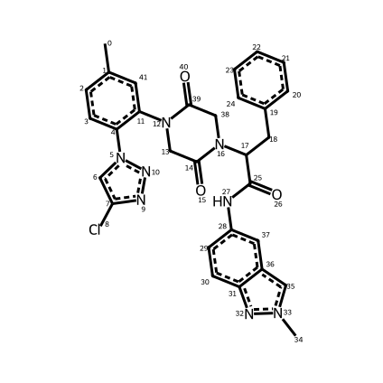 Cc1ccc(-n2cc(Cl)nn2)c(N2CC(=O)N(C(Cc3ccccc3)C(=O)Nc3ccc4nn(C)cc4c3)CC2=O)c1